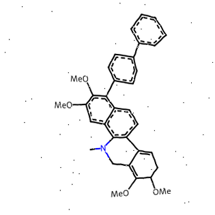 COC1=C2CN(C)c3c(ccc4c(-c5ccc(-c6ccccc6)cc5)c(OC)c(OC)cc34)C2=CCC1OC